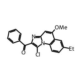 CCc1ccc2c(c1)c(OC)cc1nc(C(=O)c3ccccc3)c(Cl)n12